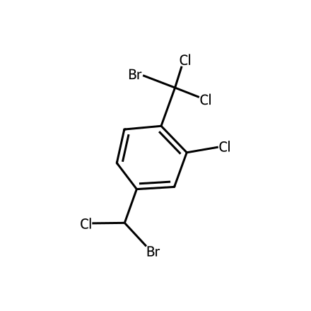 Clc1cc(C(Cl)Br)ccc1C(Cl)(Cl)Br